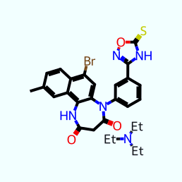 CCN(CC)CC.Cc1ccc2c(Br)cc3c(c2c1)NC(=O)CC(=O)N3c1cccc(-c2noc(=S)[nH]2)c1